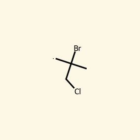 [CH2]C(C)(Br)CCl